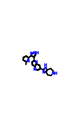 Cc1cccc(-c2n[nH]cc2-c2ccc3ncc(-c4nc5c([nH]4)CCNCC5)cc3n2)n1